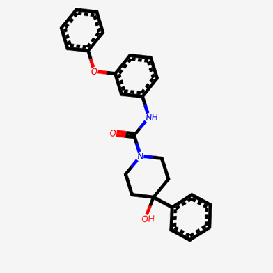 O=C(Nc1cccc(Oc2ccccc2)c1)N1CCC(O)(c2ccccc2)CC1